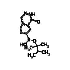 CC(C)C(C)(C)OB(O)c1ccc2cn[nH]c(=O)c2c1